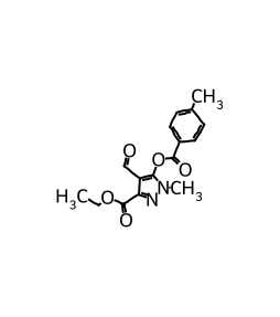 CCOC(=O)c1nn(C)c(OC(=O)c2ccc(C)cc2)c1C=O